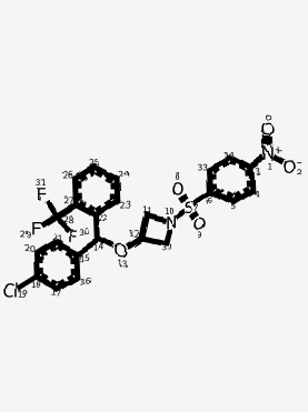 O=[N+]([O-])c1ccc(S(=O)(=O)N2CC(OC(c3ccc(Cl)cc3)c3ccccc3C(F)(F)F)C2)cc1